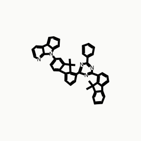 CC1(C)c2ccccc2-c2cccc(-c3nc(-c4ccccc4)nc(-c4cccc5c4C(C)(C)c4cc(-n6c7ccccc7c7cccnc76)ccc4-5)n3)c21